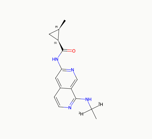 [2H]C([2H])(C)Nc1nccc2cc(NC(=O)[C@H]3C[C@H]3C)ncc12